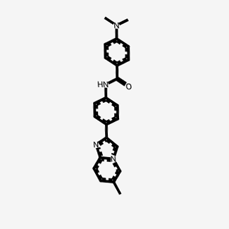 Cc1ccc2nc(-c3ccc(NC(=O)c4ccc(N(C)C)cc4)cc3)cn2c1